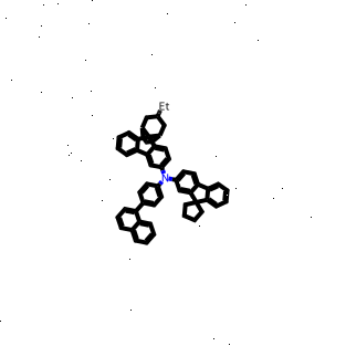 CCC1CC2CCCC(C1)C21c2ccccc2-c2cc(N(c3ccc(-c4cccc5ccccc45)cc3)c3ccc4c(c3)C3(CCCC3)c3ccccc3-4)ccc21